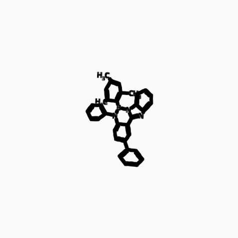 Cc1cc(C)c(B2N(c3ccccc3)c3ccc(-c4ccccc4)cc3-c3nc4ccccc4n32)c(C)c1